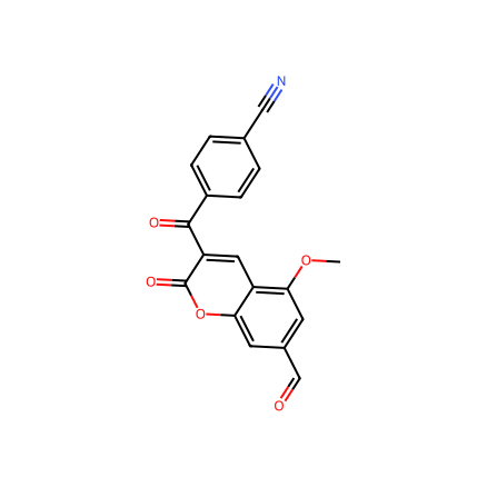 COc1cc(C=O)cc2oc(=O)c(C(=O)c3ccc(C#N)cc3)cc12